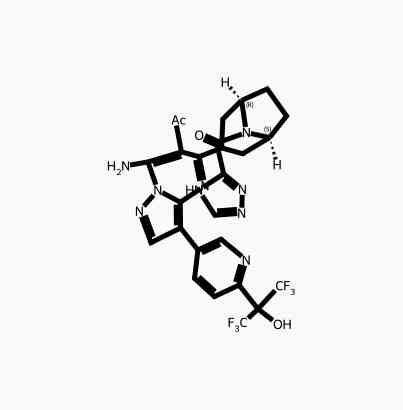 CC(=O)c1c(C2C[C@H]3CC[C@@H](C2)N3C(=O)c2nnc[nH]2)nc2c(-c3ccc(C(O)(C(F)(F)F)C(F)(F)F)nc3)cnn2c1N